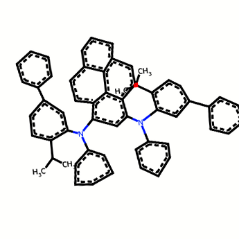 CC(C)c1ccc(-c2ccccc2)cc1N(c1ccccc1)c1cc(N(c2ccccc2)c2cc(-c3ccccc3)ccc2C(C)C)c2ccc3cccc4ccc1c2c43